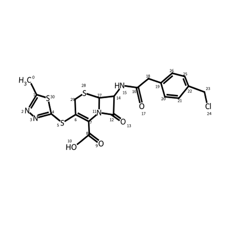 Cc1nnc(SC2=C(C(=O)O)N3C(=O)C(NC(=O)Cc4ccc(CCl)cc4)C3SC2)s1